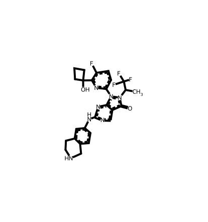 CC(n1c(=O)c2cnc(Nc3ccc4c(c3)CCNC4)nc2n1-c1ccc(F)c(C2(O)CCC2)n1)C(F)(F)F